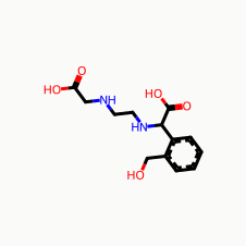 O=C(O)CNCCNC(C(=O)O)c1ccccc1CO